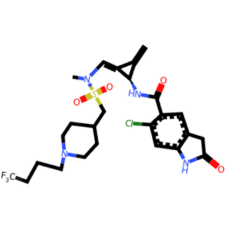 C=C1/C(=C/N(C)S(=O)(=O)CC2CCN(CCCC(F)(F)F)CC2)[C@@H]1NC(=O)c1cc2c(cc1Cl)NC(=O)C2